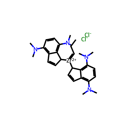 CC[CH]=[Zr+2]([CH]1C=Cc2c(N(C)C)ccc(N(C)C)c21)[CH]1C=Cc2c(N(C)C)ccc(N(C)C)c21.[Cl-].[Cl-]